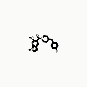 COc1nc2c(ccn2C)cc1C(=O)N1CCC(Cc2ccc(F)cc2)CC1